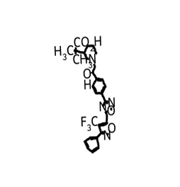 CC(C)(C(=O)O)C1CCCN(C[C@@H](O)c2ccc(-c3noc(-c4onc(-c5ccccc5)c4C(F)(F)F)n3)cc2)C1